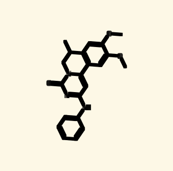 COc1cc2c(cc1OC)C(C)Cn1c-2cc(Nc2ccccc2)nc1=O